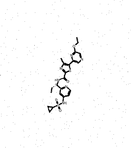 CCOc1cncc(-c2sc(C(=O)N[C@@H](CC)c3cc(NS(=O)(=O)C4CC4)ccn3)nc2C)n1